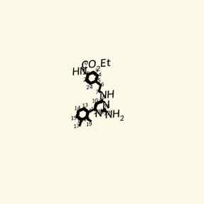 CCOC(=O)Nc1ccc(CCNc2cc(-c3cccc(C)c3C)nc(N)n2)cc1